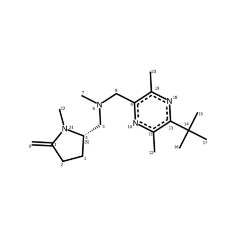 C=C1CC[C@@H](CN(C)Cc2nc(C)c(C(C)(C)C)nc2C)N1C